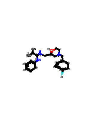 N#CC(C#N)C(NCC1CN(Cc2ccc(F)cc2)CCO1)Nc1ccccc1